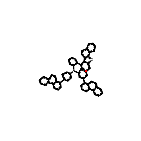 c1cc(-c2cccc3c2ccc2ccccc23)cc(N(c2ccc(-c3cccc4c3ccc3ccccc34)cc2)c2ccccc2-c2cccc3oc4c5ccccc5ccc4c23)c1